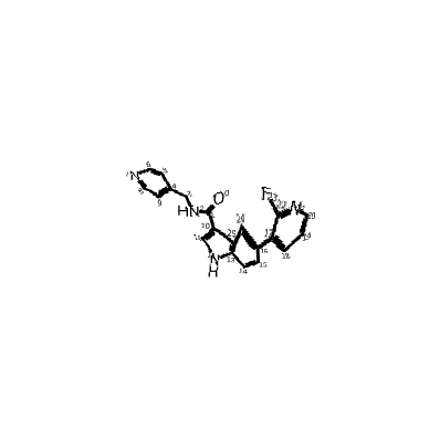 O=C(NCc1ccncc1)c1c[nH]c2ccc(-c3cccnc3F)cc12